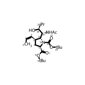 C/C=C\[C@@H]1C[C@H](C(=O)OC(C)(C)C)N(C(=O)OC(C)(C)C)[C@H]1[C@@H](NC(C)=O)[C@@H](O)C(C)C